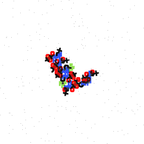 CC(=O)C(C1CCCNC1)S(=O)(=O)C(C)(C)C(=O)Nc1cc(C(C)(C)C)on1.CC(C)(C)S(=O)(=O)C(C)(C)C(=O)Nc1cc(C(F)(F)F)ccn1.CC(C)(C)S(=O)(=O)C(C)(C)C(=O)Nc1cccc(C(F)(F)F)n1.CC(C)C(C(=O)Nc1cc(C(C)(C)C)on1)S(=O)(=O)C(C)C.CCC(C)S(=O)(=O)C(C)(C)C(=O)Nc1cc(C(C)(C)C)on1.Cn1nc(C(C)(C)C)cc1NC(=O)C(C)(C)S(=O)(=O)C(C)(C)C